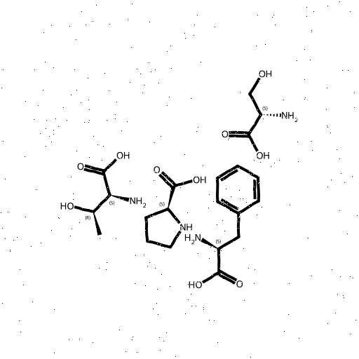 C[C@@H](O)[C@H](N)C(=O)O.N[C@@H](CO)C(=O)O.N[C@@H](Cc1ccccc1)C(=O)O.O=C(O)[C@@H]1CCCN1